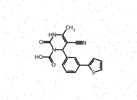 CC1=C(C#N)C(c2cccc(-c3cccs3)c2)N(C(=O)O)C(=O)N1